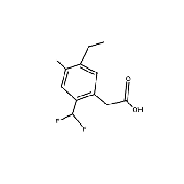 CCc1cc(CC(=O)O)c(C(F)F)cc1C